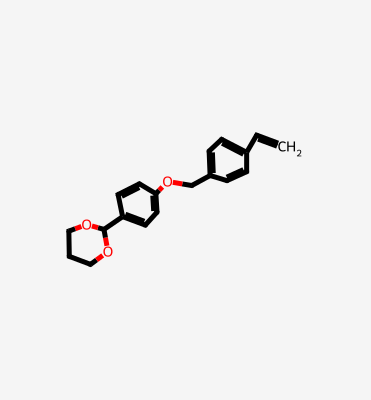 C=Cc1ccc(COc2ccc(C3OCCCO3)cc2)cc1